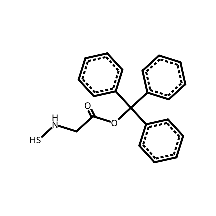 O=C(CNS)OC(c1ccccc1)(c1ccccc1)c1ccccc1